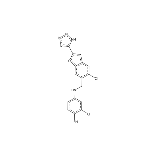 Sc1ccc(NCc2cc3oc(-c4nnn[nH]4)cc3cc2Cl)cc1Cl